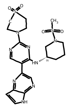 CS(=O)(=O)N1CCC[C@H](Nc2nc(N3CCS(=O)(=O)CC3)ncc2-c2cnc3[nH]ccc3n2)C1